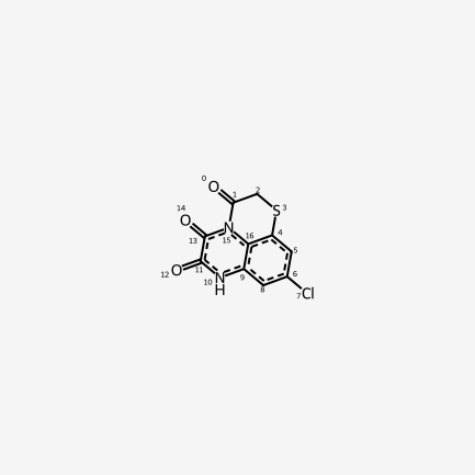 O=C1CSc2cc(Cl)cc3[nH]c(=O)c(=O)n1c23